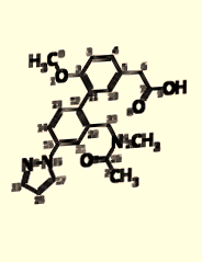 COc1ccc(CC(=O)O)cc1-c1ccc(-n2cccn2)cc1CN(C)C(C)=O